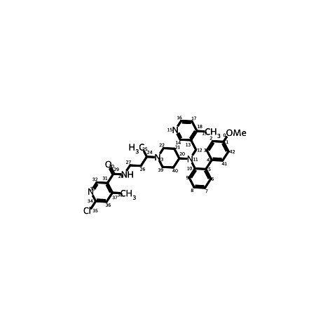 COc1ccc(-c2ccccc2N(Cc2cnccc2C)C2CCN(C(C)CCNC(=O)c3cnc(Cl)cc3C)CC2)cc1